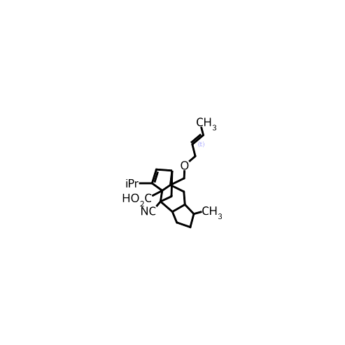 C/C=C/COCC12CC3C(C)CCC3C3(C#N)CC1C=C(C(C)C)C32C(=O)O